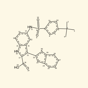 CC(C)(C)c1ccc(S(=O)(=O)Nc2ccc3[nH]c(C(=O)O)c(-c4cc5ccccc5s4)c3c2)cc1